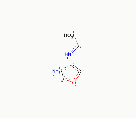 N.N=CC(=O)O.c1ccoc1